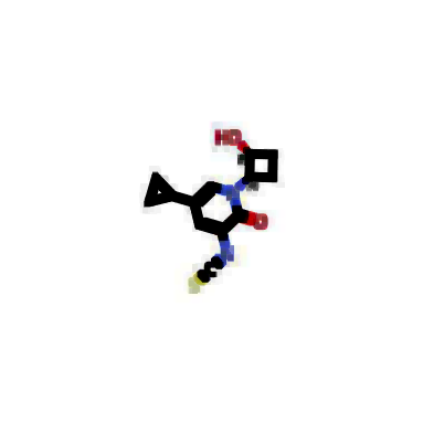 O=c1c(N=C=S)cc(C2CC2)cn1[C@@H]1CC[C@@H]1O